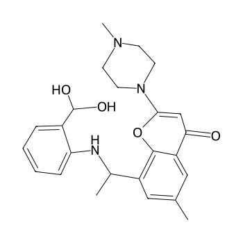 Cc1cc(C(C)Nc2ccccc2C(O)O)c2oc(N3CCN(C)CC3)cc(=O)c2c1